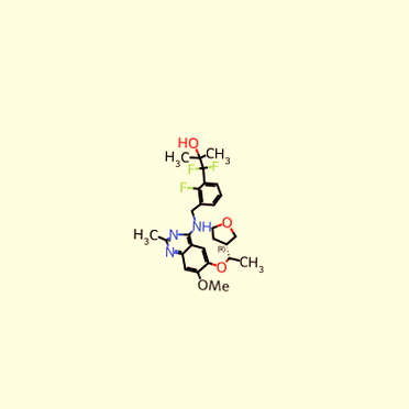 COc1cc2nc(C)nc(NCc3cccc(C(F)(F)C(C)(C)O)c3F)c2cc1OC(C)[C@@H]1CCOC1